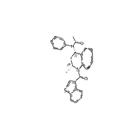 CC(=O)N(c1ccccc1)[C@H]1C[C@@H](C)N(C(=O)c2csc3ccccc23)c2ccccc21